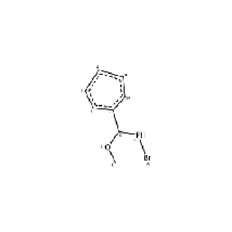 COC(PBr)c1ccccc1